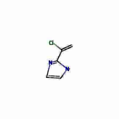 C=C(Cl)C1=NC=C[N]1